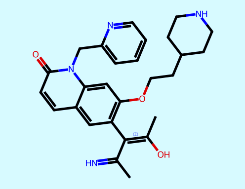 CC(=N)/C(=C(/C)O)c1cc2ccc(=O)n(Cc3ccccn3)c2cc1OCCC1CCNCC1